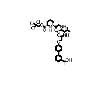 CC(C)C(NC(=O)COc1ccc(-c2cccc([C@@H](C)O)c2)cc1)C(=O)N[C@@H](C)C(=O)N1CCC[C@@H](C(=O)OCC(Cl)(Cl)Cl)N1